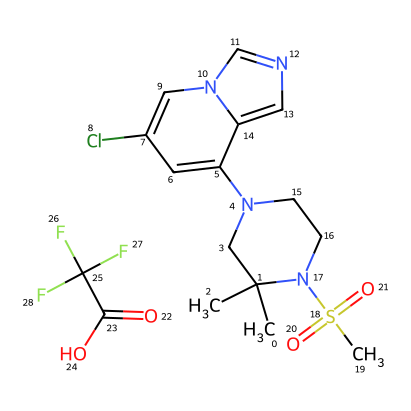 CC1(C)CN(c2cc(Cl)cn3cncc23)CCN1S(C)(=O)=O.O=C(O)C(F)(F)F